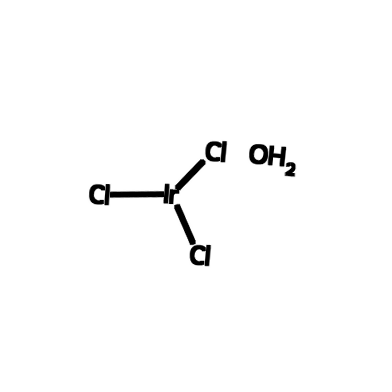 O.[Cl][Ir]([Cl])[Cl]